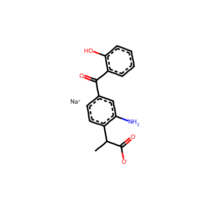 CC(C(=O)[O-])c1ccc(C(=O)c2ccccc2O)cc1N.[Na+]